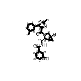 Cc1cccc(-c2sc(C)nc2C(=O)N2C[C@@H]3CC3[C@H]2CNC(=O)c2cccc(Cl)c2)c1